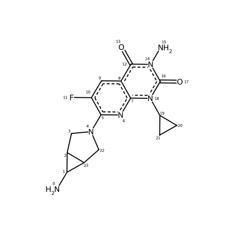 NC1C2CN(c3nc4c(cc3F)c(=O)n(N)c(=O)n4C3CC3)CC12